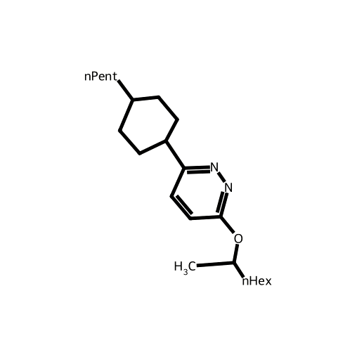 CCCCCCC(C)Oc1ccc(C2CCC(CCCCC)CC2)nn1